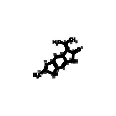 CC(C)=C1C(=O)Nc2cc3[nH]c(C)nc3cc21